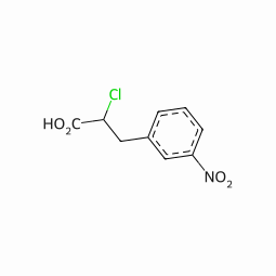 O=C(O)C(Cl)Cc1cccc([N+](=O)[O-])c1